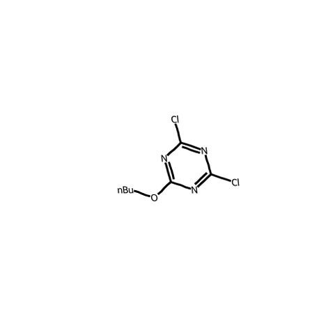 CCCCOc1nc(Cl)nc(Cl)n1